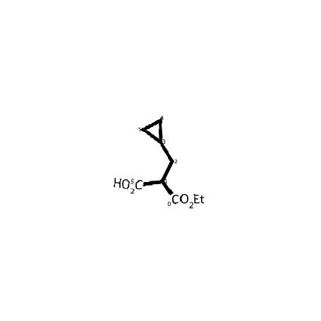 CCOC(=O)C(CC1CC1)C(=O)O